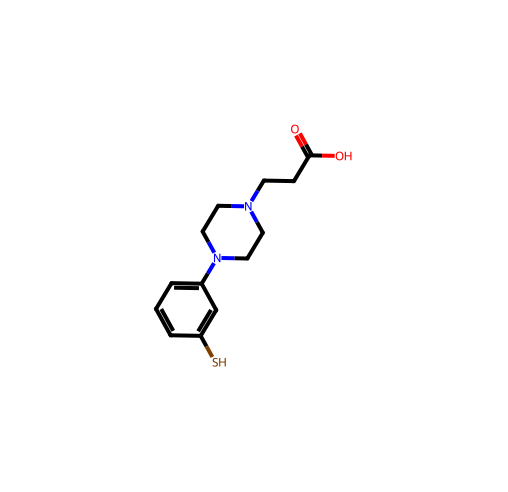 O=C(O)CCN1CCN(c2cccc(S)c2)CC1